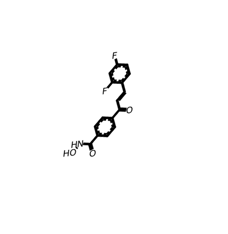 O=C(C=Cc1ccc(F)cc1F)c1ccc(C(=O)NO)cc1